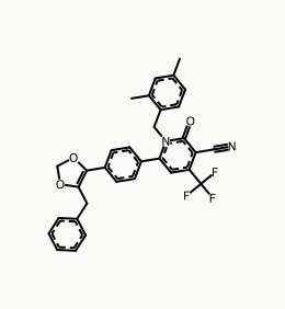 Cc1ccc(Cn2c(-c3ccc(C4=C(Cc5ccccc5)OCO4)cc3)cc(C(F)(F)F)c(C#N)c2=O)c(C)c1